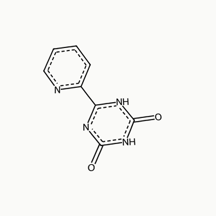 O=c1nc(-c2ccccn2)[nH]c(=O)[nH]1